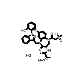 CN[C@@H](C)C(=O)N[C@H]1CN(C(=O)CS(C)(=O)=O)c2ccc(C#N)cc2N(Cc2nn(-c3ccccc3C#N)c3ccccc23)C1=O.Cl